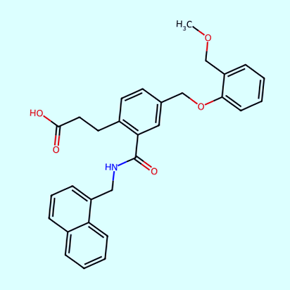 COCc1ccccc1OCc1ccc(CCC(=O)O)c(C(=O)NCc2cccc3ccccc23)c1